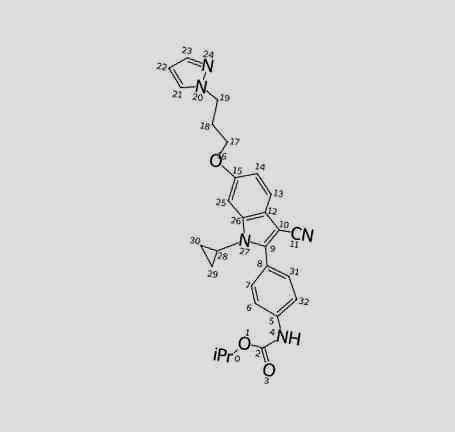 CC(C)OC(=O)Nc1ccc(-c2c(C#N)c3ccc(OCCCn4cccn4)cc3n2C2CC2)cc1